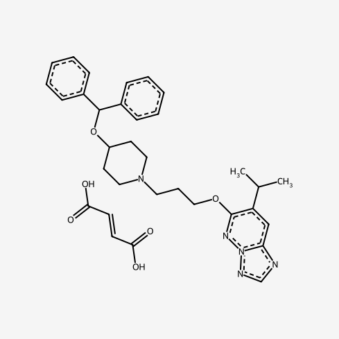 CC(C)c1cc2ncnn2nc1OCCCN1CCC(OC(c2ccccc2)c2ccccc2)CC1.O=C(O)/C=C/C(=O)O